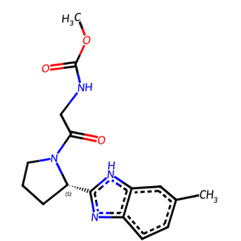 COC(=O)NCC(=O)N1CCC[C@H]1c1nc2ccc(C)cc2[nH]1